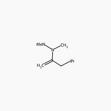 C=C(CC(C)C)N(C)NC